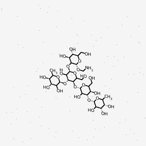 CC1O[C@@H](O[C@@H]2C(O)[C@H](O[C@@H]3C(CO)O[C@H](OC4[C@@H](OCN)OC(CO)[C@@H](O)[C@@H]4O)C(O)[C@H]3O[C@@H]3OC(C)[C@H](O)[C@H](O)C3O)OC(CO)[C@H]2O)C(O)[C@@H](O)[C@H]1O